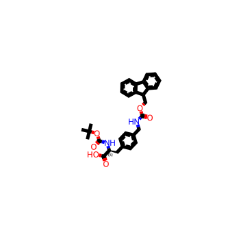 CC(C)(C)OC(=O)N[C@@H](Cc1ccc(CNC(=O)OCC2c3ccccc3-c3ccccc32)cc1)C(=O)O